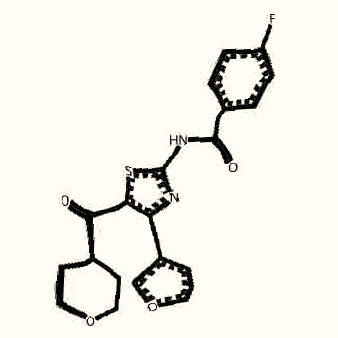 O=C(Nc1nc(-c2ccoc2)c(C(=O)C2CCOCC2)s1)c1ccc(F)cc1